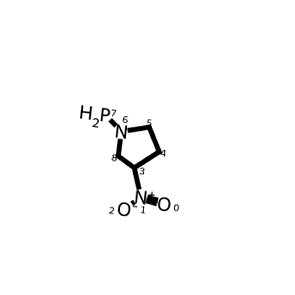 O=[N+]([O-])C1CCN(P)C1